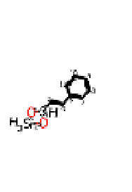 C(=C\[SiH]1O[SiH2]O1)/c1ccccc1